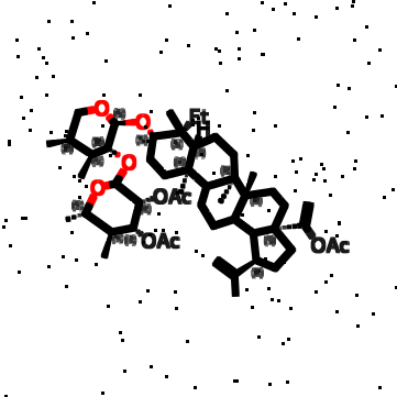 C=C(C)[C@@H]1CC[C@]2(C(=C)OC(C)=O)CC[C@]3(C)C(CCC4[C@@]5(C)CC[C@H](O[C@@H]6OC[C@H](C)[C@H](C)[C@H]6OC6O[C@@H](C)[C@H](C)[C@@H](OC(C)=O)[C@H]6OC(C)=O)[C@@](C)(CC)[C@@H]5CC[C@]43C)C12